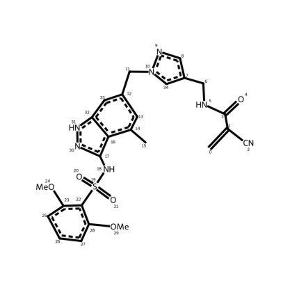 C=C(C#N)C(=O)NCc1cnn(Cc2cc(C)c3c(NS(=O)(=O)c4c(OC)cccc4OC)n[nH]c3c2)c1